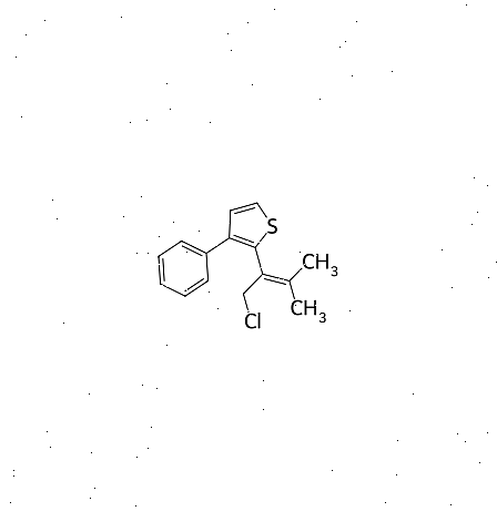 CC(C)=C(CCl)c1sccc1-c1ccccc1